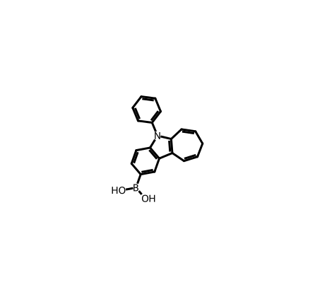 OB(O)c1ccc2c(c1)c1c(n2-c2ccccc2)C=CCC=C1